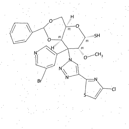 CO[C@H]1[C@@H](S)O[C@@H]2COC(c3ccccc3)O[C@@H]2C1(c1cncc(Br)c1)n1cc(-c2nc(Cl)cs2)nn1